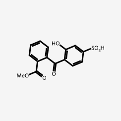 COC(=O)c1ccccc1C(=O)c1ccc(S(=O)(=O)O)cc1O